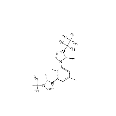 [2H]C([2H])(C)N1C=CN(c2cc(C)cc(N3C=CN(C([2H])([2H])C([2H])([2H])[2H])[C@H]3C)c2C)[C@H]1C